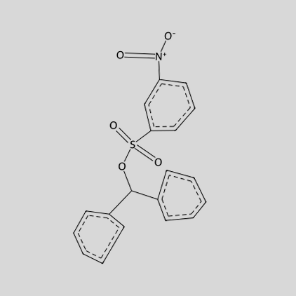 O=[N+]([O-])c1cccc(S(=O)(=O)OC(c2ccccc2)c2ccccc2)c1